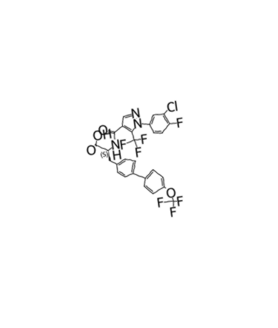 O=C(N[C@@H](Cc1ccc(-c2ccc(OC(F)(F)F)cc2)cc1)C(=O)O)c1cnn(-c2ccc(F)c(Cl)c2)c1C(F)(F)F